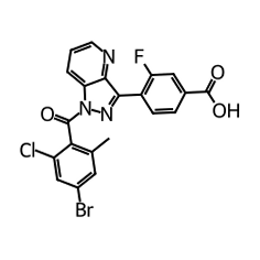 Cc1cc(Br)cc(Cl)c1C(=O)n1nc(-c2ccc(C(=O)O)cc2F)c2ncccc21